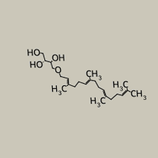 CC(C)=CCCC(C)=CCCC(C)=CCCC(C)=CCOC[C@H](O)[C@H](O)CO